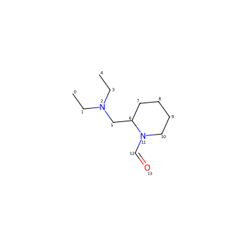 CCN(CC)CC1CCCCN1C=O